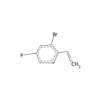 C=Cc1ccc(F)cc1Br